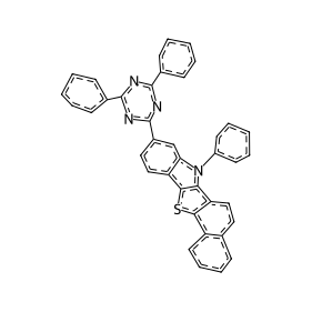 c1ccc(-c2nc(-c3ccccc3)nc(-c3ccc4c5sc6c7ccccc7ccc6c5n(-c5ccccc5)c4c3)n2)cc1